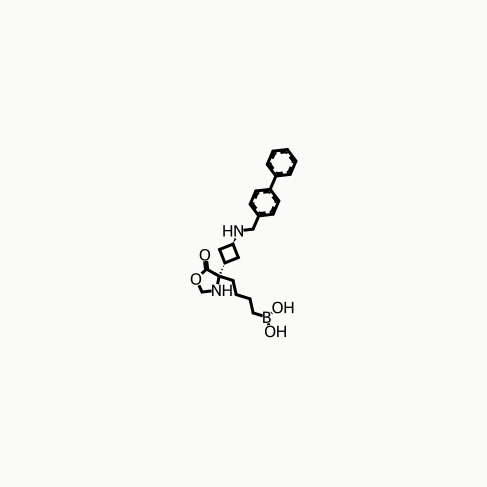 O=C1OCNC1(CCCCB(O)O)[C@H]1C[C@@H](NCc2ccc(-c3ccccc3)cc2)C1